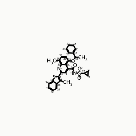 Cc1c(-c2cc(C(=O)NS(=O)(=O)C3CC3)c3c(OC(C)c4ccccc4)ccc(C)c3n2)sc2ccccc12